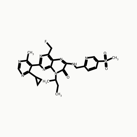 CCC(C)n1c(=O)c(NCc2ccc(S(C)(=O)=O)cn2)nc2c(CF)nc(-c3c(C)ncnc3C3CC3)nc21